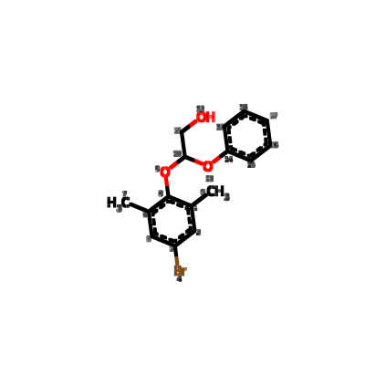 Cc1cc(Br)cc(C)c1OC(CO)Oc1ccccc1